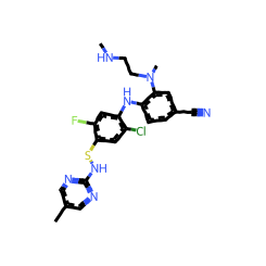 CNCCN(C)c1cc(C#N)ccc1Nc1cc(F)c(SNc2ncc(C)cn2)cc1Cl